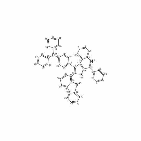 c1ccc(-c2nc3ccccc3c3c(-c4ccc(P(c5ccccc5)c5ccccc5)cc4)c(-c4cccc5c4sc4ccccc45)sc23)cc1